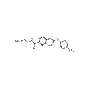 COCCNC(=O)c1ccc2cc(Oc3ccc(C(F)(F)F)cn3)ccc2n1